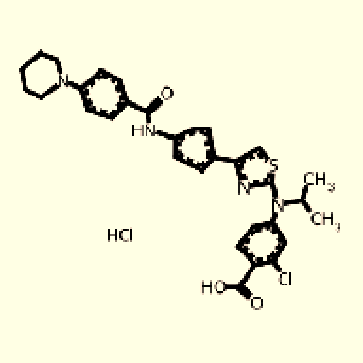 CC(C)N(c1ccc(C(=O)O)c(Cl)c1)c1nc(-c2ccc(NC(=O)c3ccc(N4CCCCC4)cc3)cc2)cs1.Cl